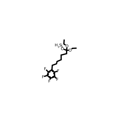 CCOC(CCCCCCc1c(F)c(F)c(F)c(F)c1F)(O[SiH3])OCC